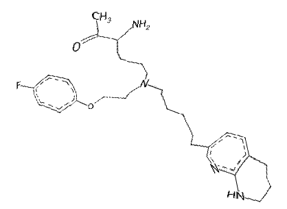 CC(=O)C(N)CCN(CCCCc1ccc2c(n1)NCCC2)CCOc1ccc(F)cc1